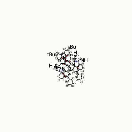 C=C(/C(=C(\C=N)c1ccccc1)N1c2ccc(-c3ccccc3)cc2B2c3cc(-c4ccccc4)ccc3N(/C(C(=C)c3ccccc3)=C(/C=N)c3ccccc3)c3cc(-n4c5ccc(C(C)(C)C)cc5c5cc(C(C)(C)C)ccc54)cc1c32)c1ccccc1